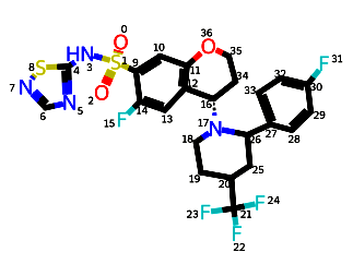 O=S(=O)(Nc1ncns1)c1cc2c(cc1F)[C@@H](N1CCC(C(F)(F)F)CC1c1ccc(F)cc1)CCO2